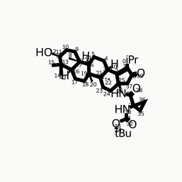 CC(C)C1=C2[C@H]3CC[C@@H]4[C@@]5(C)CC[C@H](O)C(C)(C)[C@@H]5CC[C@@]4(C)[C@]3(C)CC[C@@]2(NC(=O)C2(NC(=O)OC(C)(C)C)CC2)CC1=O